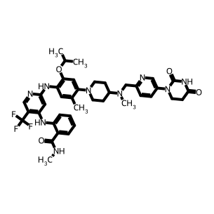 CNC(=O)c1ccccc1Nc1cc(Nc2cc(C)c(N3CCC(N(C)Cc4ccc(N5CCC(=O)NC5=O)cn4)CC3)cc2OC(C)C)ncc1C(F)(F)F